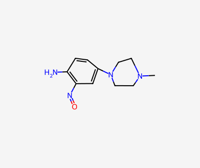 CN1CCN(c2ccc(N)c(N=O)c2)CC1